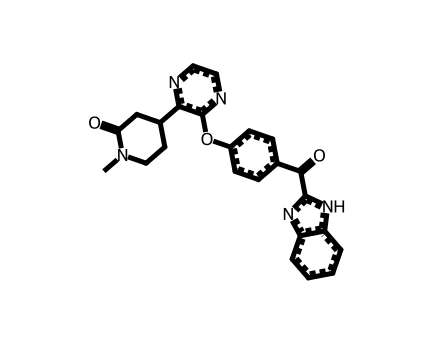 CN1CCC(c2nccnc2Oc2ccc(C(=O)c3nc4ccccc4[nH]3)cc2)CC1=O